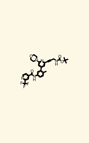 Cc1ccc(NC(=O)c2ccnc(C(F)(F)F)c2)cc1-c1cc(C#CCNC(=O)OC(C)(C)C)nc(N2CCOCC2)c1